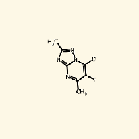 Cc1nc2nc(C)c(F)c(Cl)n2n1